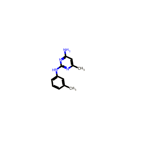 Cc1cccc(Nc2nc(C)cc(N)n2)c1